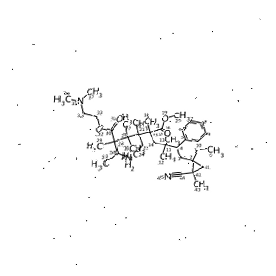 CCC1(CC(c2ccccc2)C(C)(C)CC(C)(C(=O)OC)C(C)(CC)C(C)(C)C(C)(C(=O)OCCN(C)C)C(C)N)CC1(C)C#N